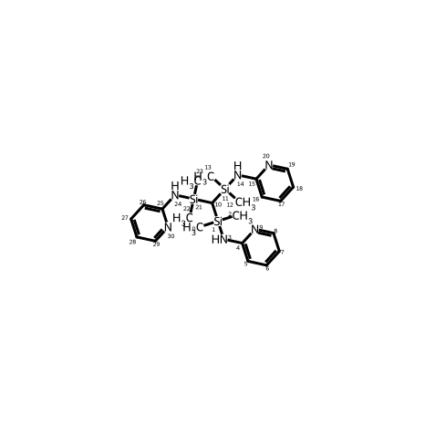 C[Si](C)(Nc1ccccn1)C([Si](C)(C)Nc1ccccn1)[Si](C)(C)Nc1ccccn1